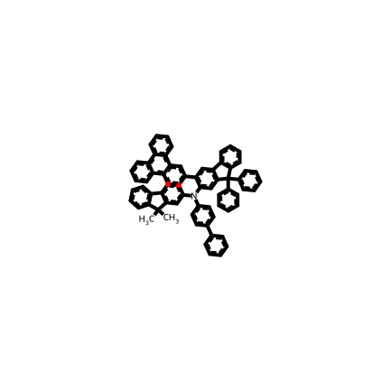 CC1(C)c2ccccc2-c2ccc(N(c3ccc(-c4ccccc4)cc3)c3cc4c(cc3-c3ccc5c6ccccc6c6ccccc6c5c3)-c3ccccc3C4(c3ccccc3)c3ccccc3)cc21